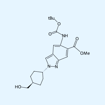 COC(=O)c1cc2nn([C@H]3CC[C@H](CO)CC3)cc2cc1NC(=O)OC(C)(C)C